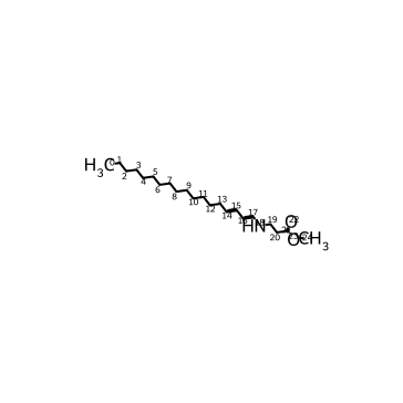 CCCCCCCCCCCCCCC=CC=CNCCC(=O)OC